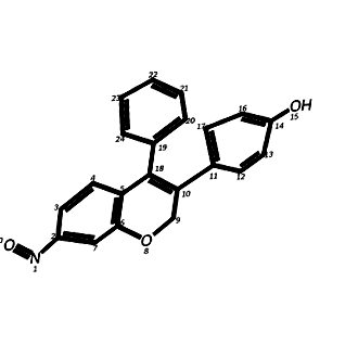 O=Nc1ccc2c(c1)OCC(c1ccc(O)cc1)=C2c1ccccc1